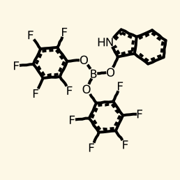 Fc1c(F)c(F)c(OB(Oc2c(F)c(F)c(F)c(F)c2F)Oc2[nH]cc3ccccc23)c(F)c1F